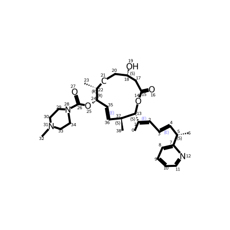 C/C(=C\C=C\[C@H](C)c1ccccn1)[C@H]1OC(=O)C[C@@H](O)CC[C@@H](C)[C@@H](OC(=O)N2CCN(C)CC2)/C=C/[C@@H]1C